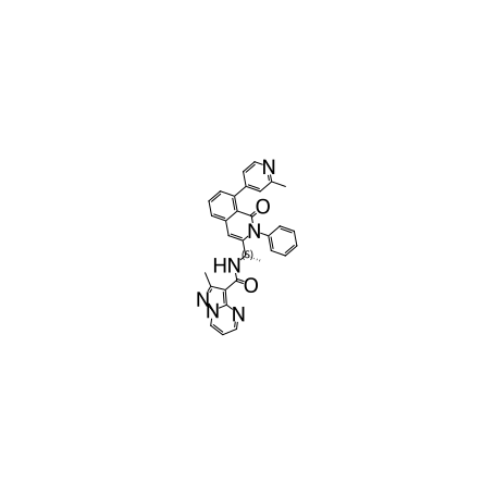 Cc1cc(-c2cccc3cc([C@H](C)NC(=O)c4c(C)nn5cccnc45)n(-c4ccccc4)c(=O)c23)ccn1